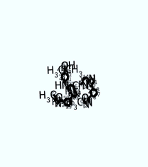 Cc1nnc(-c2cccc(-c3cnc4ccc(Cl)nn34)c2)o1.Cc1nnc(-c2cccc(-c3cnc4ccc(NC5CCC(C(C)(C)O)CC5)nn34)c2)o1